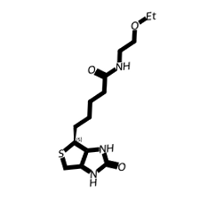 CCOCCNC(=O)CCCC[C@@H]1SCC2NC(=O)NC21